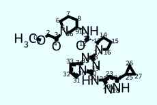 COCC(=O)N1CCC[C@@H](NC(=O)[C@@H]2CCCN2c2nc(Nc3cc(C4CC4)[nH]n3)n3cccc3n2)C1